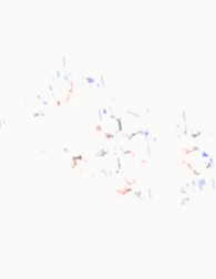 C[C@H](NC(=O)[C@H](C)NC(=O)[C@H](C)NCCNc1ccc(NCCN[C@@H](C)C(=O)N[C@@H](C)C(=O)N[C@@H](C)C(=O)O)c2c1C(=O)c1c(OC(=O)C(F)(F)F)ccc(OC(=O)C(F)(F)F)c1C2=O)C(=O)O